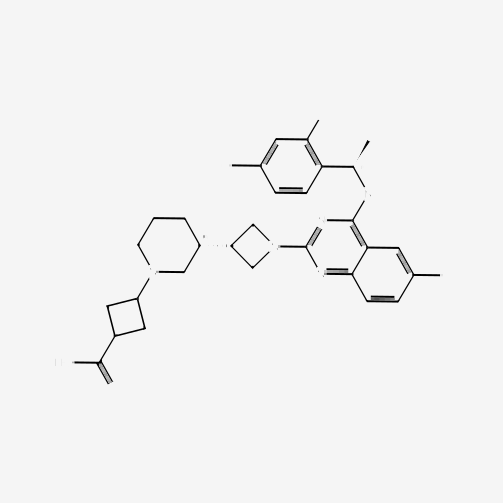 C[C@@H](Nc1nc(N2CC([C@H]3CCCN(C4CC(C(=O)O)C4)C3)C2)nc2ccc(F)cc12)c1ccc(Cl)cc1Cl